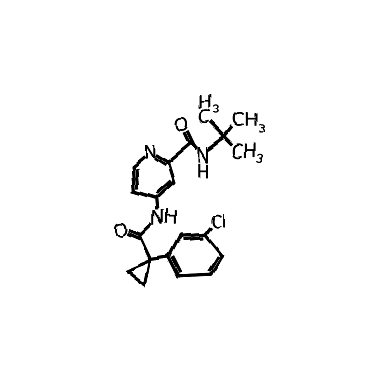 CC(C)(C)NC(=O)c1cc(NC(=O)C2(c3cccc(Cl)c3)CC2)ccn1